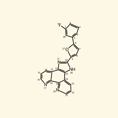 Fc1cccc(-c2ccc(-c3nc4c5cccnc5c5ncccc5c4[nH]3)o2)c1